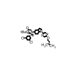 CN(C)CCOc1cnc(-n2ccc3cc(N(CC(=O)OC(C)(C)C)S(=O)(=O)c4cc(Cl)cc(Cl)c4)ccc32)cn1